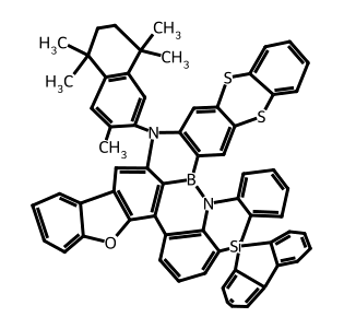 Cc1cc2c(cc1N1c3cc4c(cc3B3c5c1cc1c(oc6ccccc61)c5-c1cccc5c1N3c1ccccc1[Si]51c3ccccc3-c3ccccc31)Sc1ccccc1S4)C(C)(C)CCC2(C)C